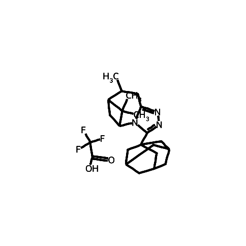 CC1Cc2nnc(C34CC5CC(CC(C5)C3)C4)n2C2CC1C2(C)C.O=C(O)C(F)(F)F